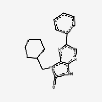 O=c1[nH]c2ncc(-c3c[c]ccc3)nc2n1CC1CCCCC1